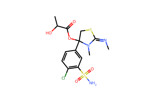 CN=C1SCC(OC(=O)C(C)O)(c2ccc(Cl)c(S(N)(=O)=O)c2)N1C